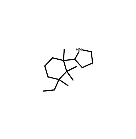 CCC1(C)CCCC(C)(C2CCCN2)C1(C)C